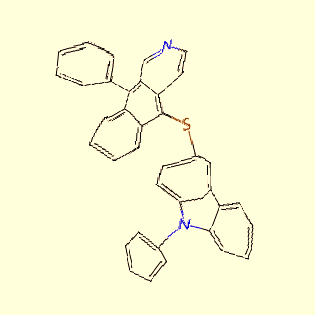 c1ccc(-c2c3ccccc3c(Sc3ccc4c(c3)c3ccccc3n4-c3ccccc3)c3ccncc23)cc1